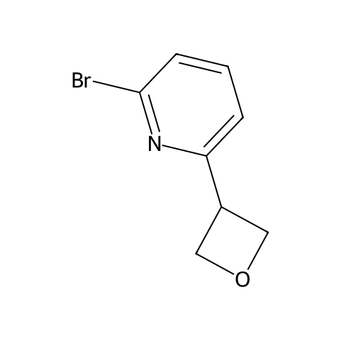 Brc1cccc(C2COC2)n1